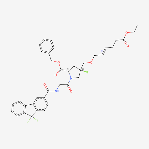 CCOC(=O)CC/C=C/COC[C@@]1(F)C[C@@H](C(=O)OCc2ccccc2)N(C(=O)CNC(=O)c2ccc3c(c2)-c2ccccc2C3(F)F)C1